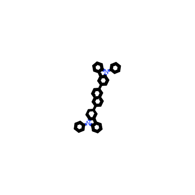 C1=c2c(n(-c3ccccc3)c3ccccc23)=CCC1c1ccc2cc(-c3ccc4c(c3)c3ccccc3n4-c3ccccc3)ccc2c1